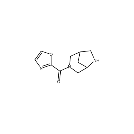 O=C(c1ncco1)N1CC2CNC(C2)C1